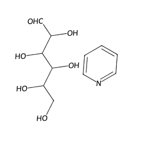 O=CC(O)C(O)C(O)C(O)CO.c1ccncc1